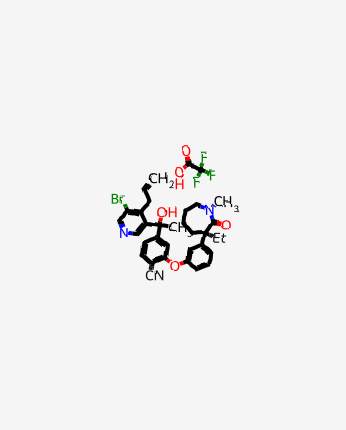 C=CCc1c(Br)cncc1C(C)(O)c1ccc(C#N)c(Oc2cccc(C3(CC)CCCCN(C)C3=O)c2)c1.O=C(O)C(F)(F)F